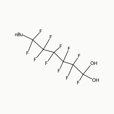 CCCCC(F)(F)C(F)(F)C(F)(F)C(F)(F)C(F)(F)C(O)(O)F